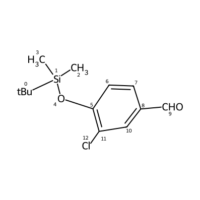 CC(C)(C)[Si](C)(C)Oc1ccc(C=O)cc1Cl